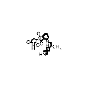 C[C@H](CNc1cccc2c1C(=O)N(C1CCC(=O)NC1=O)C2=O)C1CC2(CNC2)C1